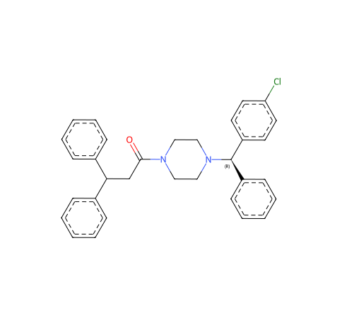 O=C(CC(c1ccccc1)c1ccccc1)N1CCN([C@H](c2ccccc2)c2ccc(Cl)cc2)CC1